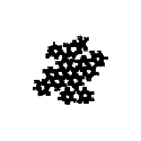 Cc1cccc(N(c2ccc(C(C)(C)C)cc2)c2ccc3c(-c4ccc5c6c(cccc46)-c4ccccc4-5)c4cc(N(c5ccccc5)c5ccccc5)ccc4c(-c4ccc5c6c(cccc46)-c4ccccc4-5)c3c2)c1